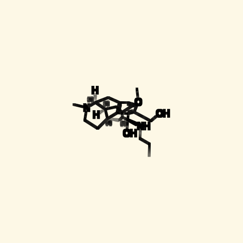 CCCN[C@H]1C[C@@]23CCN(C)[C@@H](Cc4ccc(CO)c(O)c42)[C@H]3CC1OC